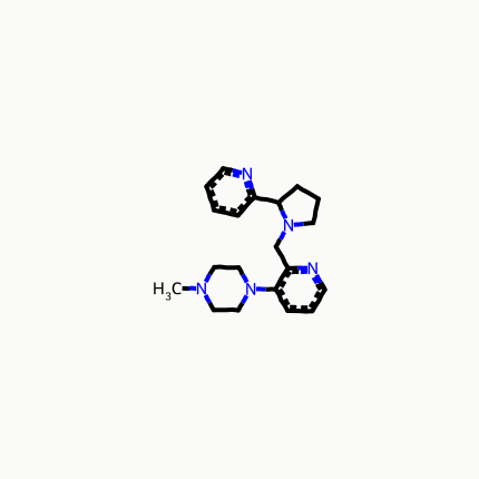 CN1CCN(c2cccnc2CN2CCCC2c2ccccn2)CC1